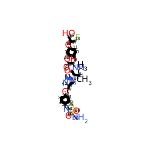 CC(C)C(C(=O)N[C@@H](Cc1ccc(OC(CO)CF)cc1)C(=O)O)n1cc(COc2ccc3nc(S(N)(=O)=O)sc3c2)nn1